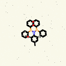 CCCc1cc(C)cc(CC)c1N(P(c1ccccc1)c1ccccc1)P(c1ccccc1)c1ccccc1